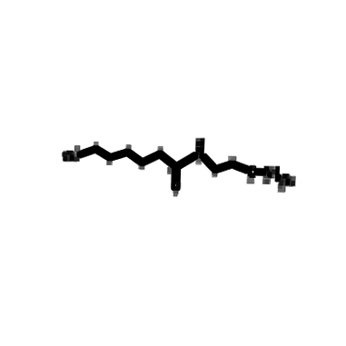 CC(C)(C)CCCCCC(=O)NCCCNC(C)(C)C